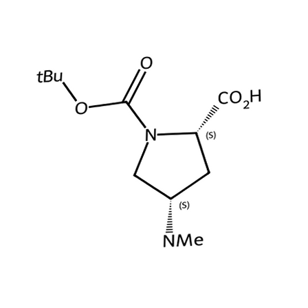 CN[C@H]1C[C@@H](C(=O)O)N(C(=O)OC(C)(C)C)C1